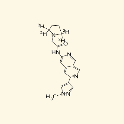 [2H]C1([2H])CCC([2H])([2H])N1CC(=O)Nc1cc2cc(-c3cnn(C)c3)ncc2cn1